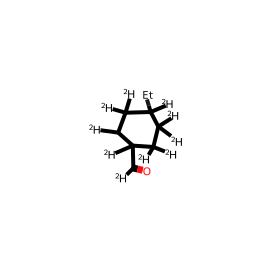 [2H]C(=O)C1([2H])C([2H])C([2H])([2H])C([2H])(CC)C([2H])([2H])C1([2H])[2H]